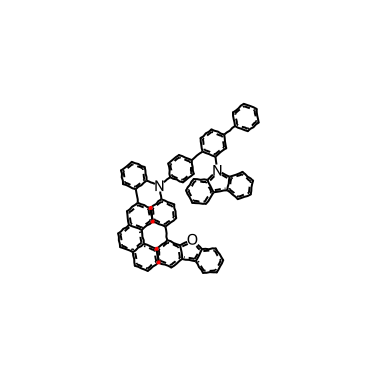 c1ccc(-c2ccc(-c3ccc(N(c4ccc(-c5cccc6c5oc5ccccc56)cc4)c4ccccc4-c4ccc5c(ccc6ccccc65)c4)cc3)c(-n3c4ccccc4c4ccccc43)c2)cc1